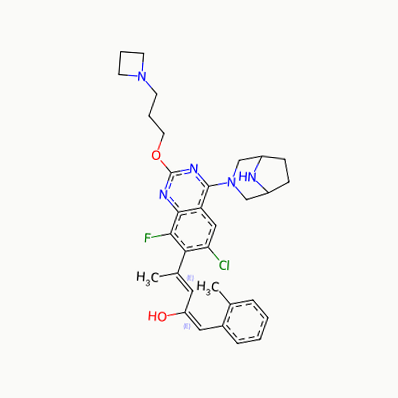 C/C(=C\C(O)=C/c1ccccc1C)c1c(Cl)cc2c(N3CC4CCC(C3)N4)nc(OCCCN3CCC3)nc2c1F